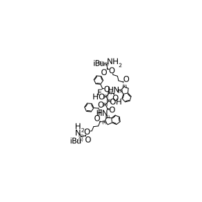 CC[C@H](C)[C@H](N)C(=O)OCCCC(=O)[C@@H]1Cc2ccccc2[C@H]1NC(=O)[C@H](OC(F)c1ccccc1)[C@H](O)[C@@H](O)[C@@H](OC(F)c1ccccc1)C(=O)N[C@@H]1c2ccccc2C[C@H]1C(=O)CCCOC(=O)[C@@H](N)[C@@H](C)CC